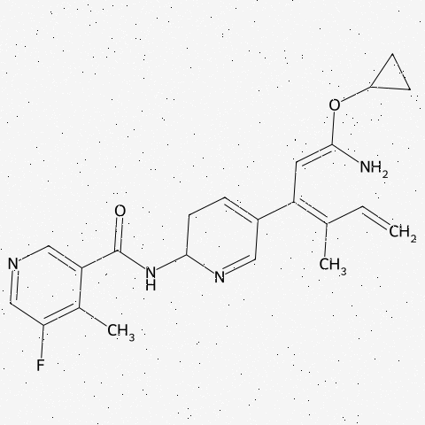 C=C/C(C)=C(\C=C(/N)OC1CC1)C1=CCC(NC(=O)c2cncc(F)c2C)N=C1